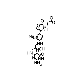 CN1c2c(nc(N)[nH]c2=O)NCC1CNc1ccc(C(=O)N[C@@H](CCC(=O)[O-])C(=O)[O-])cc1.[Na+].[Na+]